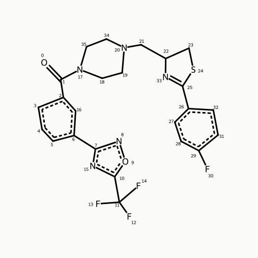 O=C(c1cccc(-c2noc(C(F)(F)F)n2)c1)N1CCN(CC2CSC(c3ccc(F)cc3)=N2)CC1